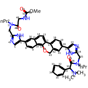 CCCN(Cc1ncc(-c2ccc3c4c(ccc3c2)-c2ccc(-c3cnc(CN(CCC)C(=O)C(c5ccccc5)N(C)C)[nH]3)cc2CO4)[nH]1)C(=O)CNC(=O)OC